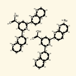 O=C(O)c1cc(-c2ccc3cccnc3n2)nc(-c2ccc3cccnc3n2)c1.O=C(O)c1cc(-c2ccc3cccnc3n2)nc(-c2ccc3cccnc3n2)c1.[Ru]